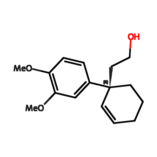 COc1ccc([C@]2(CCO)C=CCCC2)cc1OC